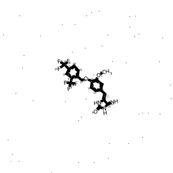 COc1cc(/C=C2\NC(=O)NC2=N)ccc1OCc1ccc(C(F)(F)F)cc1C(F)(F)F